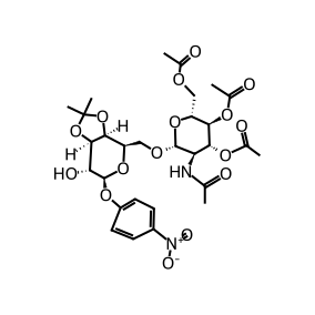 CC(=O)N[C@H]1[C@H](OC[C@H]2O[C@@H](Oc3ccc([N+](=O)[O-])cc3)[C@H](O)[C@H]3OC(C)(C)O[C@H]32)O[C@H](COC(C)=O)[C@@H](OC(C)=O)[C@@H]1OC(C)=O